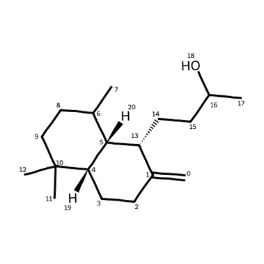 C=C1CC[C@H]2[C@H](C(C)CCC2(C)C)[C@@H]1CCC(C)O